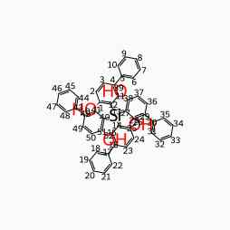 Oc1ccc(-c2ccccc2)cc1[Si](c1cc(-c2ccccc2)ccc1O)(c1cc(-c2ccccc2)ccc1O)c1cc(-c2ccccc2)ccc1O